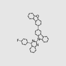 Fc1ccc(-c2nc(-n3c4ccccc4c4cc(-c5ccc6oc7ccccc7c6c5)ccc43)nc3ccccc23)cc1